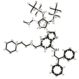 COC[C@H]1O[C@@H](n2cnc3c(NCC(c4ccccc4)c4ccccc4)nc(COCCN4CCCCC4)nc32)[C@H](O[Si](C)(C)C(C)(C)C)[C@@H]1O[Si](C)(C)C(C)(C)C